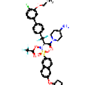 CCOc1cc(-c2ccc(C(F)(F)[C@H](C(=O)N3CCC(N)CC3)N(OC(=O)C(F)(F)F)S(=O)(=O)c3ccc4cc(OC5CCCC5)ccc4c3)cc2)ccc1Cl